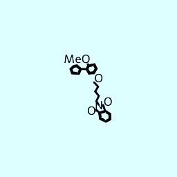 COc1ccc(OCCCCCN2C(=O)c3ccccc3C2=O)cc1-c1ccccc1